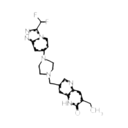 CCc1cc2ncc(CN3CCN(c4ccn5c(C(F)F)nnc5c4)CC3)cc2[nH]c1=O